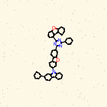 c1ccc(-c2ccc3c4ccccc4n(-c4ccc5c(c4)oc4cc(-c6nc(-c7ccccc7)nc(-c7cccc8oc9ccccc9c78)n6)ccc45)c3c2)cc1